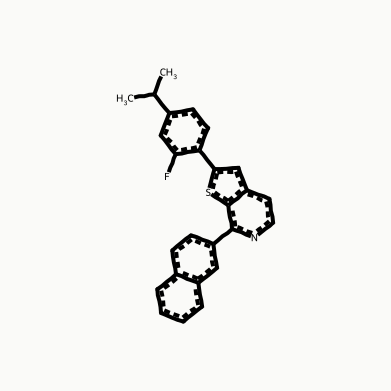 CC(C)c1ccc(-c2cc3ccnc(-c4ccc5ccccc5c4)c3s2)c(F)c1